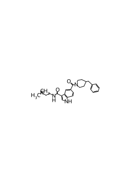 CN(C)CCNC(=O)c1c[nH]c2ccc(C(=O)N3CCC(Cc4ccccc4)CC3)cc12